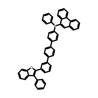 c1ccc(-c2c(-c3cccc(-c4ccc(-c5ccc(N(c6ccccc6)c6cc7ccccc7c7ccccc67)cc5)cc4)c3)oc3ccccc23)cc1